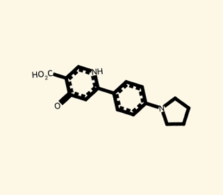 O=C(O)c1c[nH]c(-c2ccc(N3CCCC3)cc2)cc1=O